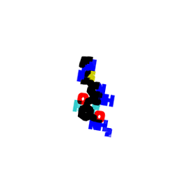 NC(=O)c1ccc(F)c(C(=O)c2c[nH]c3ncc(-c4cnc(-n5cccn5)s4)cc23)c1F